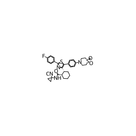 N#CC1(NC(=O)[C@@H]2CCCC[C@H]2c2nc(-c3ccc(F)cc3)sc2-c2ccc(N3CCS(=O)(=O)CC3)cc2)CC1